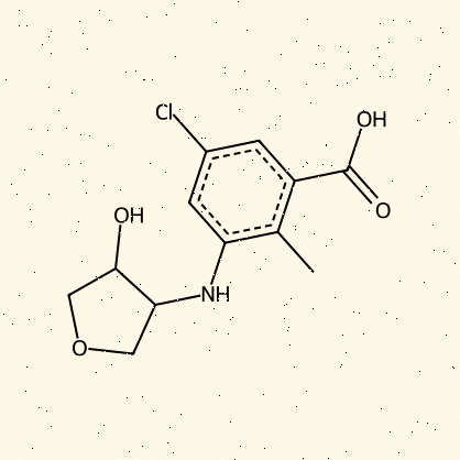 Cc1c(NC2COCC2O)cc(Cl)cc1C(=O)O